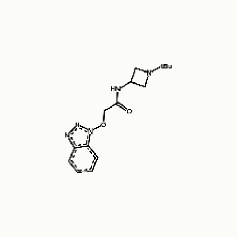 CC(C)(C)N1CC(NC(=O)COn2nnc3ccccc32)C1